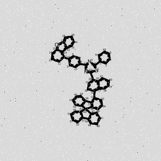 c1ccc(-c2nc(-c3ccc(-c4cccc5oc6ccccc6c45)cc3)nc(-c3ccc(-c4cccc5c4-c4ccccc4C54c5ccccc5-c5ccccc54)c4ccccc34)n2)cc1